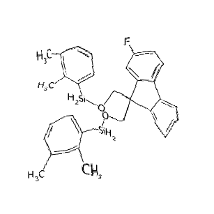 Cc1cccc([SiH2]OCC2(CO[SiH2]c3cccc(C)c3C)c3ccccc3-c3ccc(F)cc32)c1C